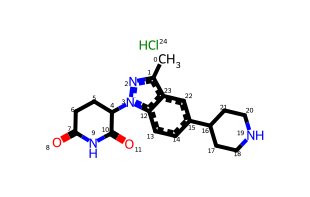 Cc1nn(C2CCC(=O)NC2=O)c2ccc(C3CCNCC3)cc12.Cl